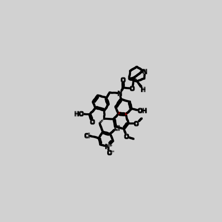 COc1ccc([C@H](Cc2c(Cl)c[n+]([O-])cc2Cl)c2cc(CN(C(=O)O[C@H]3CN4CCC3CC4)c3cccc(O)c3)ccc2C(=O)O)cc1OC